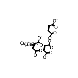 O=C([O-])/C=C\C(=O)[O-].O=C([O-])/C=C\C(=O)[O-].O=C([O-])/C=C\C(=O)[O-].[Cu].[Cu].[Fe+3].[Fe+3]